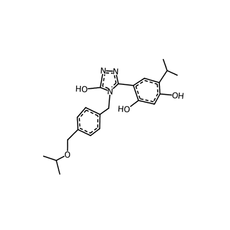 CC(C)OCc1ccc(Cn2c(O)nnc2-c2cc(C(C)C)c(O)cc2O)cc1